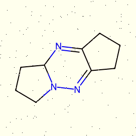 C1CC2=NC3CCCN3N=C2C1